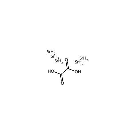 O=C(O)C(=O)O.[SrH2].[SrH2].[SrH2].[SrH2].[SrH2]